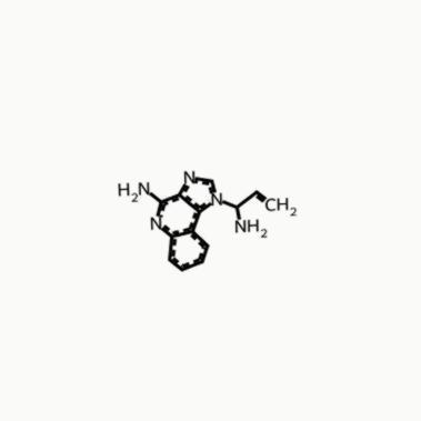 C=CC(N)n1cnc2c(N)nc3ccccc3c21